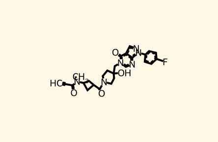 C#CC(=O)N(C)C1CC(C(=O)N2CCC(O)(Cn3cnc4c(cnn4-c4ccc(F)cc4)c3=O)CC2)C1